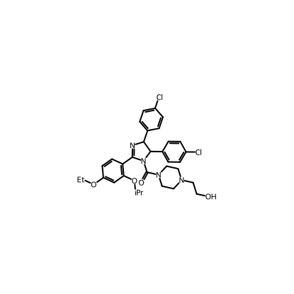 CCOc1ccc(C2=NC(c3ccc(Cl)cc3)C(c3ccc(Cl)cc3)N2C(=O)N2CCN(CCO)CC2)c(OC(C)C)c1